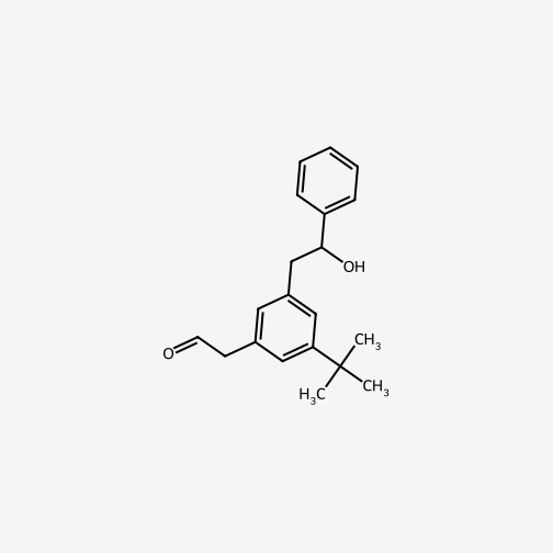 CC(C)(C)c1cc(CC=O)cc(CC(O)c2ccccc2)c1